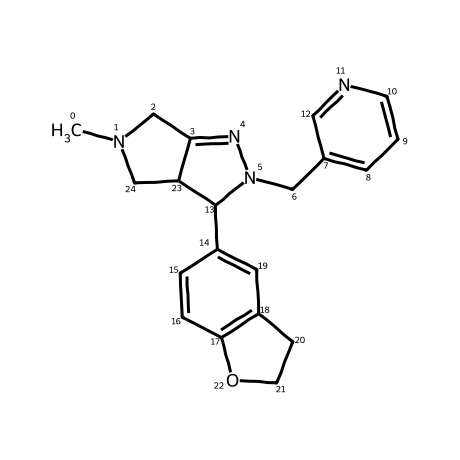 CN1CC2=NN(Cc3cccnc3)C(c3ccc4c(c3)CCO4)C2C1